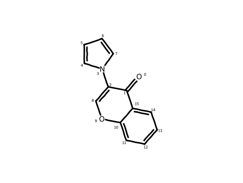 O=c1c(-n2cccc2)coc2ccccc12